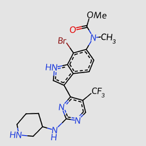 COC(=O)N(C)c1ccc2c(-c3nc(NC4CCCNC4)ncc3C(F)(F)F)c[nH]c2c1Br